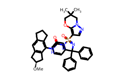 CO[C@H]1Cc2cc3c(c(NC(=O)NS(=O)(=NC(c4ccccc4)(c4ccccc4)c4ccccc4)c4cnn5c4OCC(C)(C)C5)c2C1)CCC3